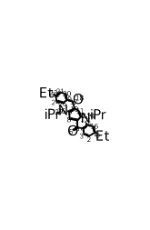 CCc1ccc2c(=O)c3cc4c(cc3n(C(C)C)c2c1)c(=O)c1ccc(CC)cc1n4C(C)C